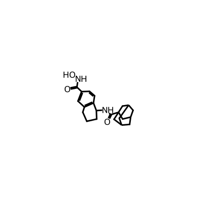 O=C(NO)c1ccc2c(c1)CCCC2NC(=O)C12CC3CC(CC(C3)C1)C2